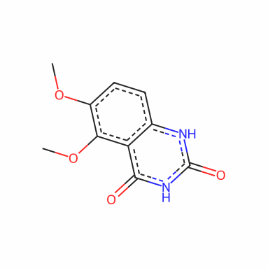 COc1ccc2[nH]c(=O)[nH]c(=O)c2c1OC